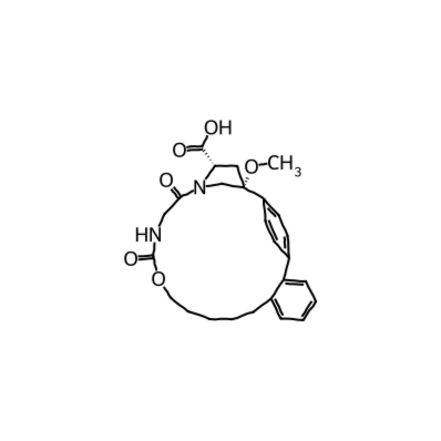 CO[C@@]12C[C@@H](C(=O)O)N(C1)C(=O)CNC(=O)OCCCCCc1ccccc1-c1ccc2cc1